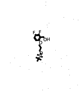 CC(C)(C)[Si](C)(C)OCCCOc1ccc(F)c(F)c1CO